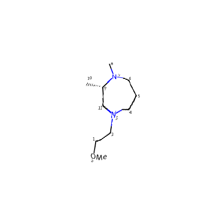 COCCN1CCCN(C)[C@@H](C)C1